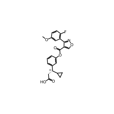 COc1ccc(F)c(-c2nocc2C(=O)Oc2cccc([C@@H](CC(=O)O)C3CC3)c2)c1